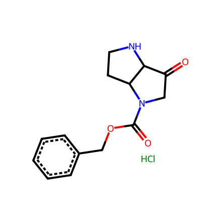 Cl.O=C1CN(C(=O)OCc2ccccc2)C2CCNC12